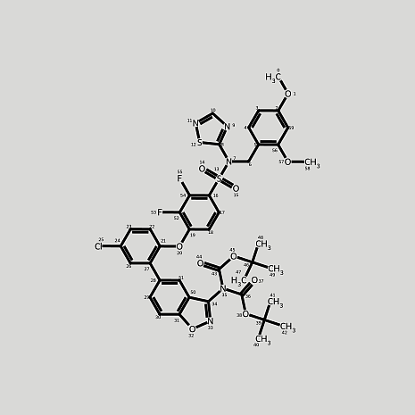 COc1ccc(CN(c2ncns2)S(=O)(=O)c2ccc(Oc3ccc(Cl)cc3-c3ccc4onc(N(C(=O)OC(C)(C)C)C(=O)OC(C)(C)C)c4c3)c(F)c2F)c(OC)c1